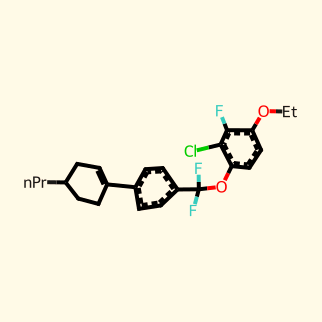 CCCC1CC=C(c2ccc(C(F)(F)Oc3ccc(OCC)c(F)c3Cl)cc2)CC1